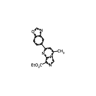 CCOC(=O)c1ncn2c(C)cc(-c3ccc4ocnc4c3)nc12